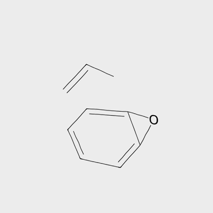 C=CC.c1ccc2c(c1)O2